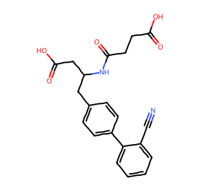 N#Cc1ccccc1-c1ccc(CC(CC(=O)O)NC(=O)CCC(=O)O)cc1